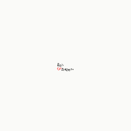 [Ba+2].[Ce+3].[O-2].[Zr+4]